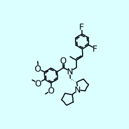 COc1cc(C(=O)N(C/C(C)=C/c2ccc(F)cc2F)C[C@@H]2CCCN2C2CCCC2)cc(OC)c1OC